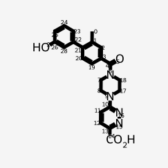 Cc1cc(C(=O)N2CCN(c3ccc(C(=O)O)nn3)CC2)ccc1-c1cccc(O)c1